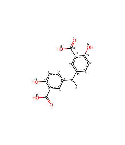 CC(c1ccc(O)c(C(=O)O)c1)c1ccc(O)c(C(=O)O)c1